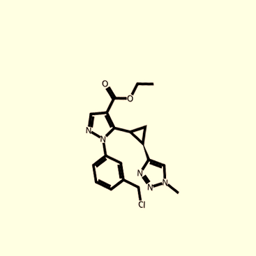 CCOC(=O)c1cnn(-c2cccc(CCl)c2)c1C1C[C@H]1c1cn(C)nn1